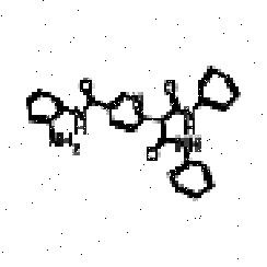 Nc1ccccc1NC(=O)c1ccc(C(C(=O)Nc2ccccc2)C(=O)Nc2ccccc2)nc1